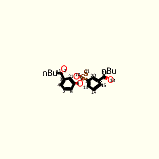 CCCCC(=O)c1cccc(OS(=O)(=S)c2cccc(C(=O)CCCC)c2)c1